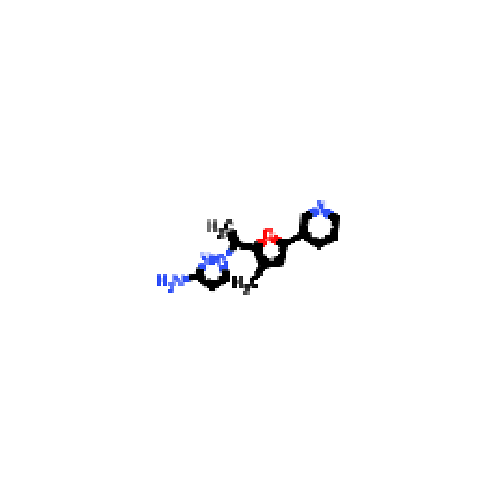 C=C(c1oc(-c2cccnc2)cc1C)n1ccc(N)n1